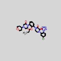 CCC(=O)Oc1c(N2CCN(C3CCOCC3)CC2=O)cccc1N1CCN(c2cc(Cl)ccc2-n2cnnn2)C(=O)C1=O